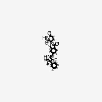 C=C(NCc1ccc2c(c1)CN(C1CCC(=O)NC1=O)C2=O)C(F)(F)c1ccccc1F